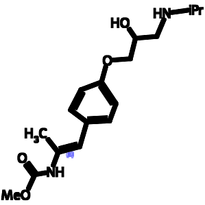 COC(=O)N/C(C)=C/c1ccc(OCC(O)CNC(C)C)cc1